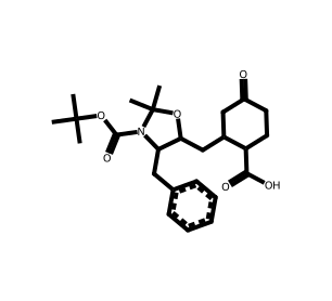 CC(C)(C)OC(=O)N1C(Cc2ccccc2)C(CC2CC(=O)CCC2C(=O)O)OC1(C)C